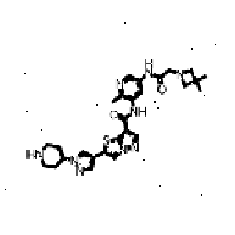 Cc1ncc(NC(=O)CN2CC(C)(C)C2)cc1NC(=O)c1cnn2cc(-c3cnn(C4CCNCC4)c3)sc12